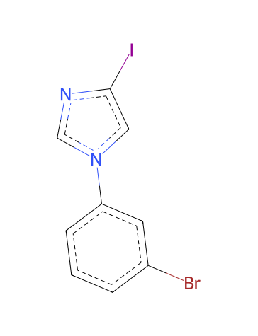 Brc1cccc(-n2cnc(I)c2)c1